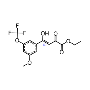 CCOC(=O)C(=O)/C=C(\O)c1cc(OC)cc(OC(F)(F)F)c1